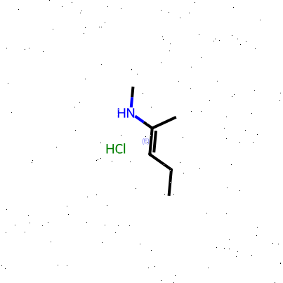 CC/C=C(\C)NC.Cl